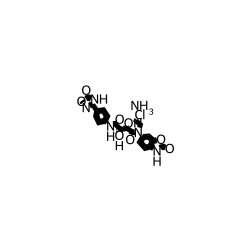 N.O=C(Nc1ccc(-c2noc(=O)[nH]2)cc1)[C@H](O)[C@@H](O)C(=O)N(CCCl)c1ccc2[nH]c(=O)oc2c1